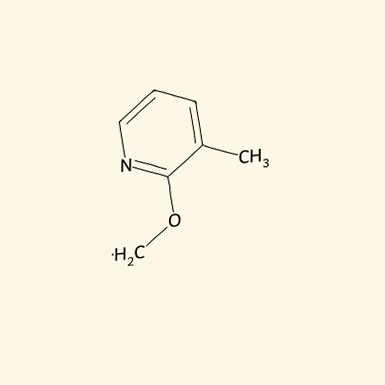 [CH2]Oc1ncccc1C